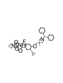 CC1(COc2cc(F)c(C(=O)NS(=O)(=O)N3CCC3)cc2C2CC2)CN(C(c2ccccc2)c2ccccc2)C1